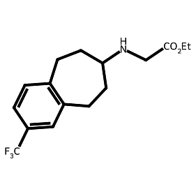 CCOC(=O)CNC1CCc2ccc(C(F)(F)F)cc2CC1